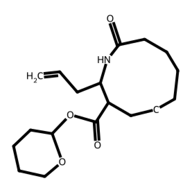 C=CCC1NC(=O)CCCCCCC1C(=O)OC1CCCCO1